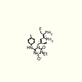 C=C/C(=C\C(P)=C(\P)CF)CN1C(=O)N(CC)[S+]([O-])N=C1Nc1ccc(C)cc1